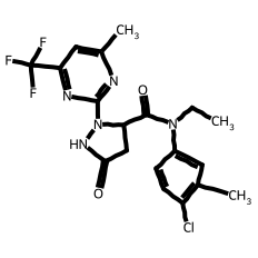 CCN(C(=O)C1CC(=O)NN1c1nc(C)cc(C(F)(F)F)n1)c1ccc(Cl)c(C)c1